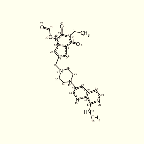 CCn1c(=O)c2sc(CN3CCN(c4cnc5c(NC)nccc5c4)CC3)cc2n(OC=O)c1=O